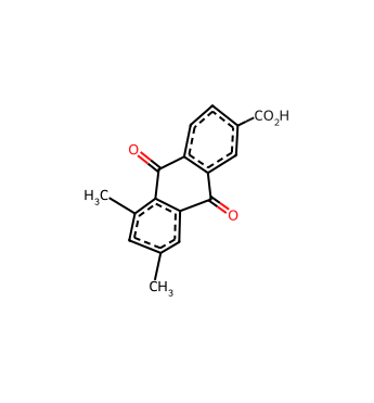 Cc1cc(C)c2c(c1)C(=O)c1cc(C(=O)O)ccc1C2=O